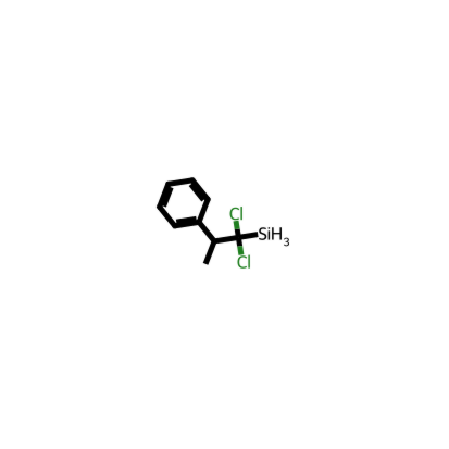 CC(c1ccccc1)C([SiH3])(Cl)Cl